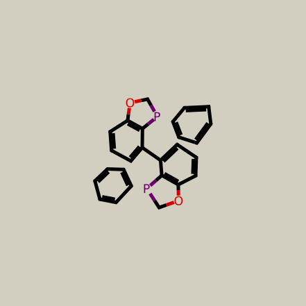 c1ccc([P@]2COc3cccc(-c4cccc5c4[P@](c4ccccc4)CO5)c32)cc1